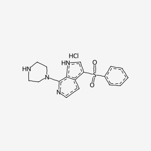 Cl.O=S(=O)(c1ccccc1)c1c[nH]c2c(N3CCNCC3)nccc12